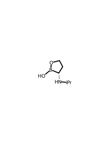 CC(C)N[C@H]1CCOB1O